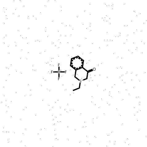 CC[S+]1CC(=O)c2ccccc2C1.F[B-](F)(F)F